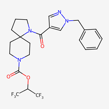 O=C(OC(C(F)(F)F)C(F)(F)F)N1CCC2(CCCN2C(=O)c2cnn(Cc3ccccc3)c2)CC1